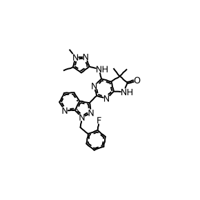 Cc1cc(Nc2nc(-c3nn(Cc4ccccc4F)c4ncccc34)nc3c2C(C)(C)C(=O)N3)nn1C